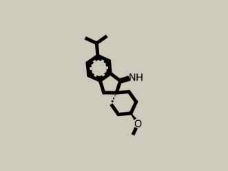 CO[C@H]1CC[C@]2(CC1)Cc1ccc(C(C)C)cc1C2=N